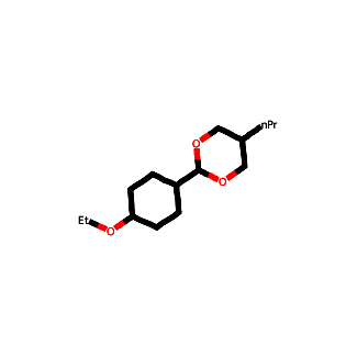 CCCC1COC(C2CCC(OCC)CC2)OC1